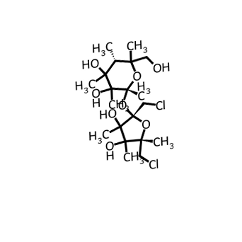 C[C@@H]1C(C)(CO)O[C@](C)(O[C@]2(CCl)O[C@](C)(CCl)C(C)(O)C2(C)O)C(C)(O)C1(C)O